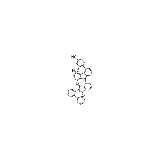 Cc1cc(C#N)ccc1-c1cccc2c1c1ccccc1n2-c1cccc2c1C(=O)N(c1ccccc1-c1ccccc1)C2=O